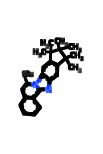 CC(C)(C)c1cc2ccccc2c2nc3cc4c(cc3n12)C(C)(C)C(C)(C)C4(C)C